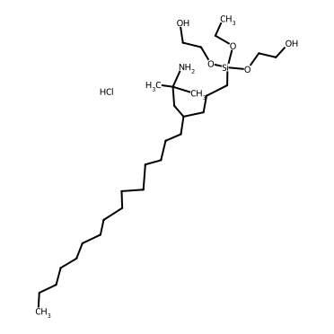 CCCCCCCCCCCCCCCC(CCC[Si](OCC)(OCCO)OCCO)CC(C)(C)N.Cl